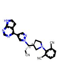 N#CC[C@@H]([C@H]1CCN(c2c(C#N)cccc2C#N)C1)n1cc(-c2ncnc3[nH]ccc23)cn1